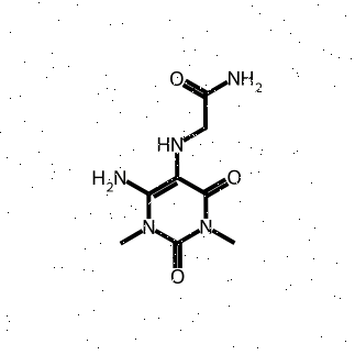 Cn1c(N)c(NCC(N)=O)c(=O)n(C)c1=O